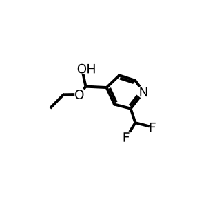 CCOC(O)c1ccnc(C(F)F)c1